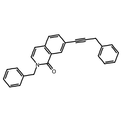 O=c1c2cc(C#CCc3ccccc3)ccc2ccn1Cc1ccccc1